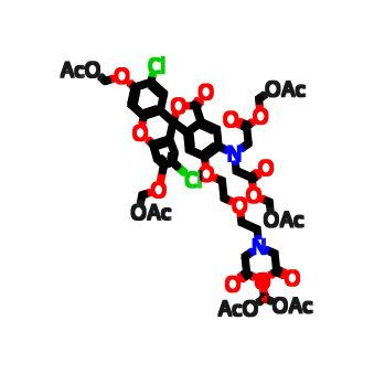 CC(=O)OCOC(=O)CN(CCOCCOc1cc2c(cc1N(CC(=O)OCOC(C)=O)CC(=O)OCOC(C)=O)C(=O)OC21c2cc(Cl)c(OCOC(C)=O)cc2Oc2cc(OCOC(C)=O)c(Cl)cc21)CC(=O)OCOC(C)=O